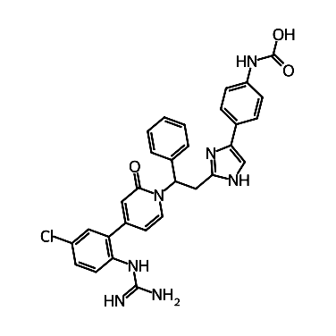 N=C(N)Nc1ccc(Cl)cc1-c1ccn(C(Cc2nc(-c3ccc(NC(=O)O)cc3)c[nH]2)c2ccccc2)c(=O)c1